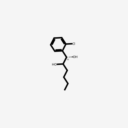 CCCCC(O)[C@@H](O)c1ccccc1Cl